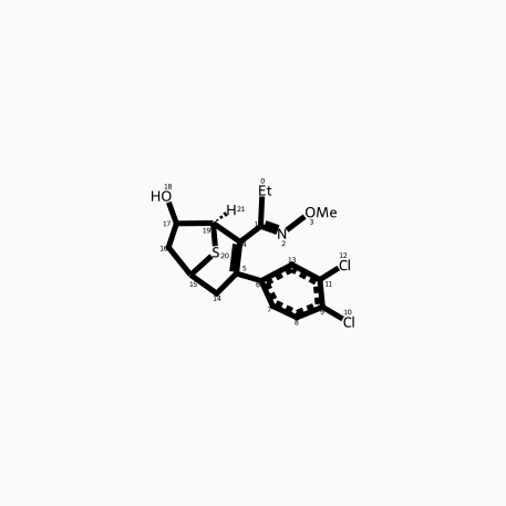 CCC(=NOC)C1=C(c2ccc(Cl)c(Cl)c2)CC2CC(O)[C@@H]1S2